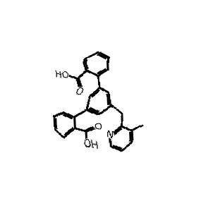 Cc1cccnc1Cc1cc(-c2ccccc2C(=O)O)cc(-c2ccccc2C(=O)O)c1